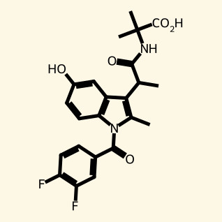 Cc1c(C(C)C(=O)NC(C)(C)C(=O)O)c2cc(O)ccc2n1C(=O)c1ccc(F)c(F)c1